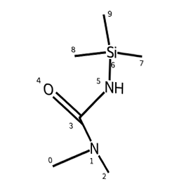 CN(C)C(=O)N[Si](C)(C)C